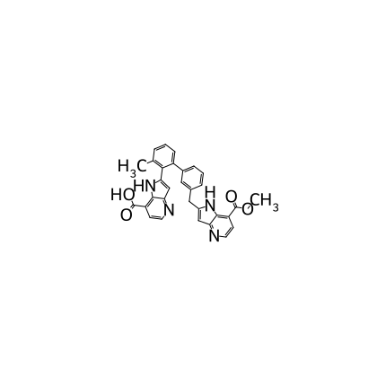 COC(=O)c1ccnc2cc(Cc3cccc(-c4cccc(C)c4-c4cc5nccc(C(=O)O)c5[nH]4)c3)[nH]c12